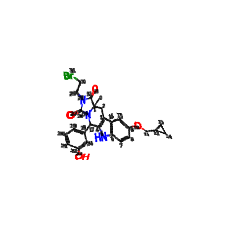 CC12Cc3c([nH]c4ccc(OCC5CC5)cc34)C(c3cccc(O)c3)N1C(=O)N(CCBr)C2=O